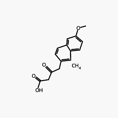 C.COc1ccc2cc(CC(=O)CC(=O)O)ccc2c1